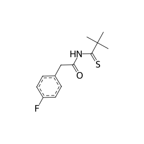 CC(C)(C)C(=S)NC(=O)Cc1ccc(F)cc1